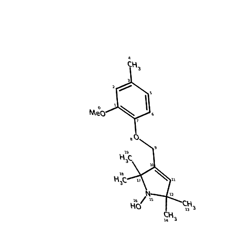 COc1cc(C)ccc1OCC1=CC(C)(C)N(O)C1(C)C